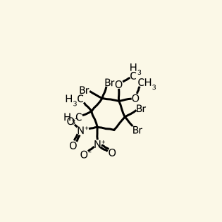 COC1(OC)C(Br)(Br)CC([N+](=O)[O-])([N+](=O)[O-])C(C)(C)C1(Br)Br